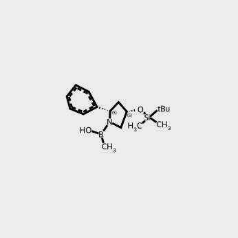 CB(O)N1C[C@@H](O[Si](C)(C)C(C)(C)C)C[C@H]1c1ccccc1